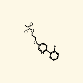 CS(=O)(=O)OCCOc1ccc(-c2ccccc2F)nc1